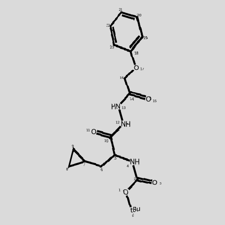 CC(C)(C)OC(=O)NC(CC1CC1)C(=O)NNC(=O)COc1ccccc1